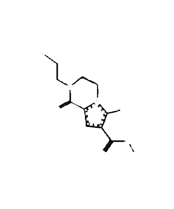 Cc1c(C(=O)OC(C)C)cc2n1CCN(CCN)C2=O